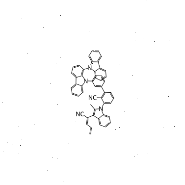 C=C/C=C(/C#N)c1c(C)n(-c2cccc(-c3cccc(-n4c5ccccc5c5cccc(-n6c7ccccc7c7ccccc76)c54)c3)c2C#N)c2ccccc12